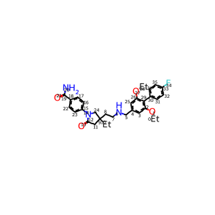 CCOc1cc(CNCCC2(CC)CC(=O)N(c3ccc(C(N)=O)cc3)C2)cc(OCC)c1-c1ccc(F)cc1